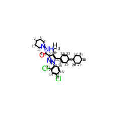 Cc1c(C(=O)NN2CCCCC2)nn(-c2ccc(Cl)cc2Cl)c1C1=CCC(C2CCCCC2)C=C1